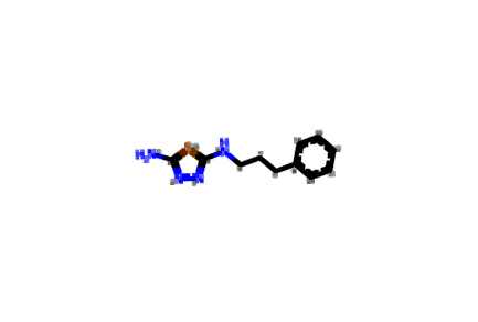 Nc1nnc(NCCCc2ccccc2)s1